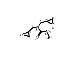 CCNC(=O)N(CC1CO1)CC1CO1